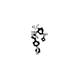 Cc1ccc(NC2CCC2)cc1Nc1nc(-c2ccc(-n3ccnc3)cc2)cs1